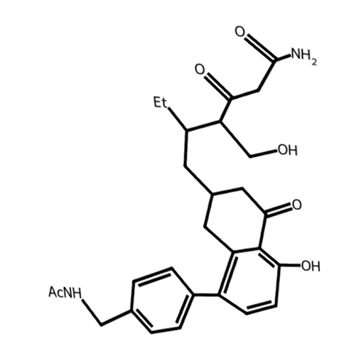 CCC(CC1CC(=O)c2c(O)ccc(-c3ccc(CNC(C)=O)cc3)c2C1)C(CO)C(=O)CC(N)=O